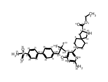 CCOC(=O)[C@@H]1CC2(CCN(c3cc(O[C@H](c4ccc(-c5ccc(S(N)(=O)=O)cc5)cc4)C(F)(F)F)nc(N)n3)CC2)CN1